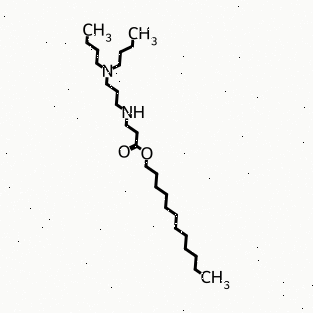 CCCCCCCCCCCCOC(=O)CCNCCCN(CCCC)CCCC